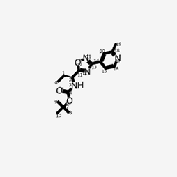 CC[C@H](NC(=O)OC(C)(C)C)c1nc(-c2ccnc(C)c2)no1